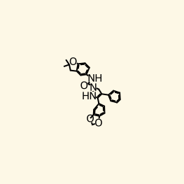 CC1(C)Cc2cc(NC(=O)N3CC(c4ccccc4)=C(c4ccc5c(c4)OCO5)N3)ccc2O1